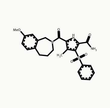 COc1ccc2c(c1)CN(C(=O)c1[nH]c(C(N)=O)c(S(=O)(=O)c3ccccc3)c1C)CCC2